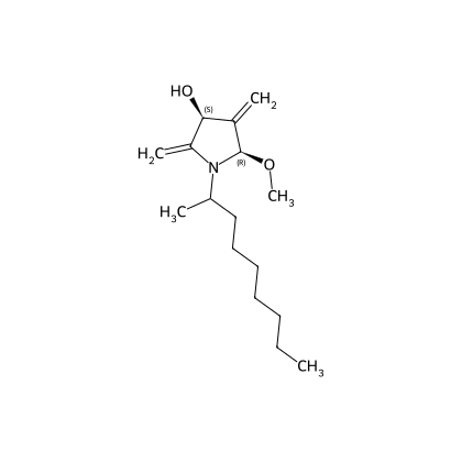 C=C1[C@H](O)C(=C)N(C(C)CCCCCCC)[C@@H]1OC